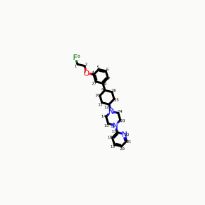 FCCOc1cccc(C2CCC(N3CCN(c4ccccn4)CC3)CC2)c1